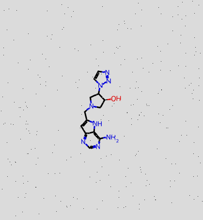 Nc1ncnc2cc(CN3CC(n4ccnn4)[C@@H](O)C3)[nH]c12